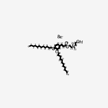 CCCCCCCCCCCCOc1ccc(C=CC(=O)OCC[N+](C)(C)CCO)cc1OCCCCCCCCCCCC.[Br-]